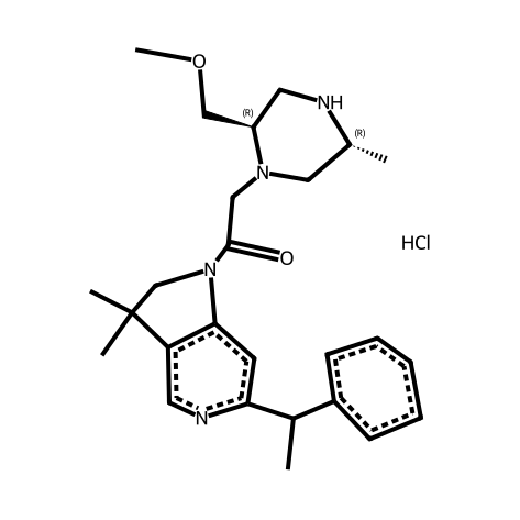 COC[C@H]1CN[C@H](C)CN1CC(=O)N1CC(C)(C)c2cnc(C(C)c3ccccc3)cc21.Cl